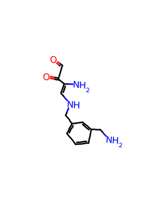 NCc1cccc(CN/C=C(\N)C(=O)C=O)c1